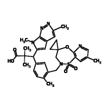 Cc1cnc2c(c1)S(=O)(=O)N(Cc1cc(C(c3cc4cc(C)nnc4n3C)C(C)(C)C(=O)O)ccc1C)CC1(CC1)O2